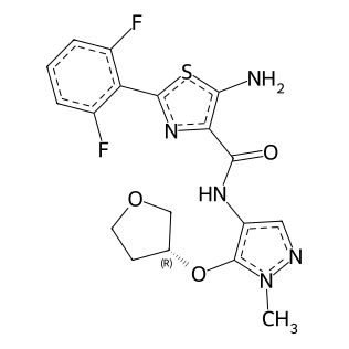 Cn1ncc(NC(=O)c2nc(-c3c(F)cccc3F)sc2N)c1O[C@@H]1CCOC1